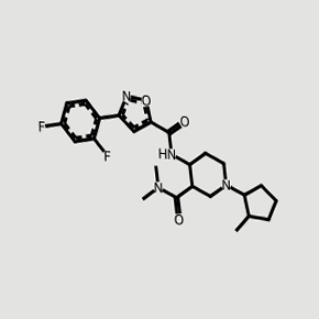 CC1CCCC1N1CCC(NC(=O)c2cc(-c3ccc(F)cc3F)no2)C(C(=O)N(C)C)C1